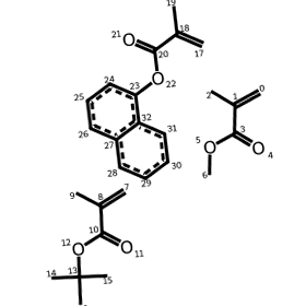 C=C(C)C(=O)OC.C=C(C)C(=O)OC(C)(C)C.C=C(C)C(=O)Oc1cccc2ccccc12